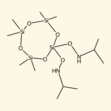 CC(C)NO[Si]1(ONC(C)C)O[Si](C)(C)O[Si](C)(C)O[Si](C)(C)O1